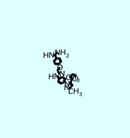 Cc1cc(-c2ccco2)n(-c2ccc3[nH]c(COc4ccc(C(=N)N)cc4)nc3c2C)n1